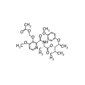 COc1ccc(O[C@@H](C)[C@@H](OC(=O)[C@H](C)NC(=O)c2nccc(OC)c2OCOC(C)=O)C(C)C)cc1